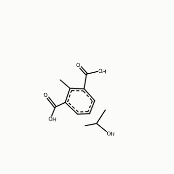 CC(C)O.Cc1c(C(=O)O)cccc1C(=O)O